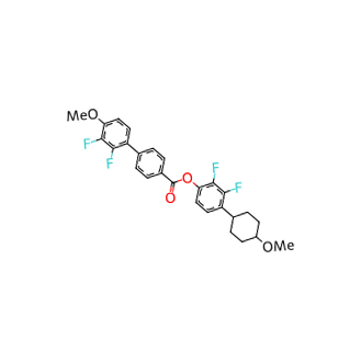 COc1ccc(-c2ccc(C(=O)Oc3ccc(C4CCC(OC)CC4)c(F)c3F)cc2)c(F)c1F